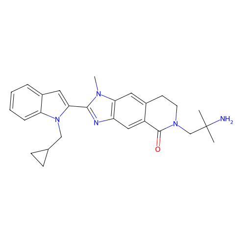 Cn1c(-c2cc3ccccc3n2CC2CC2)nc2cc3c(cc21)CCN(CC(C)(C)N)C3=O